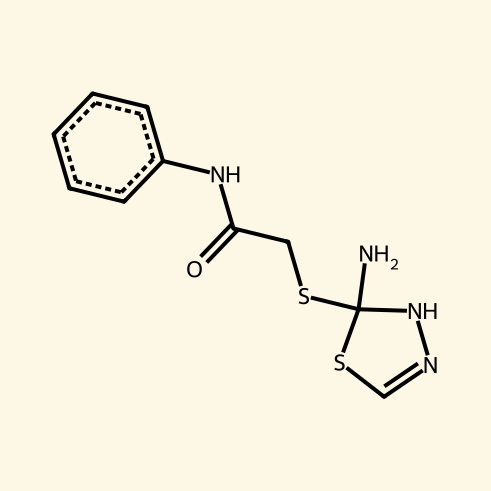 NC1(SCC(=O)Nc2ccccc2)NN=CS1